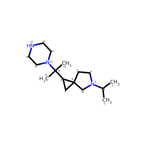 CC(C)N1CCC2(CC2C(C)(C)N2CCNCC2)C1